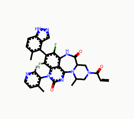 C=CC(=O)N1CC(C)N2c3nc(=O)n(-c4c(C)ccnc4C(C)C)c4c(F)c(-c5c(C)ccc6[nH]ncc56)c(F)c(c34)NC(=O)C2C1